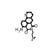 CN(C)CCN1C(=O)c2cc3cccnc3c3ccc(N)c(c23)C1=O